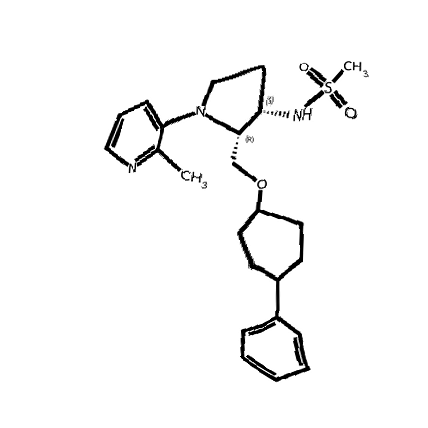 Cc1ncccc1N1CC[C@H](NS(C)(=O)=O)[C@@H]1COC1CCC(c2ccccc2)CC1